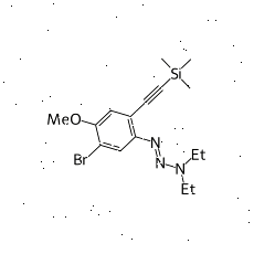 CCN(CC)/N=N/c1cc(Br)c(OC)cc1C#C[Si](C)(C)C